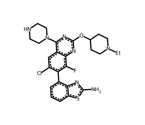 CCN1CCC(Oc2nc(N3CCNCC3)c3cc(Cl)c(-c4cccc5sc(N)nc45)c(F)c3n2)CC1